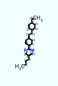 CCCCc1cnc(C2CCC(CCC3CCC(CC)CC3)CC2)nc1